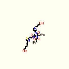 CC(C)C[C@H]1ON(C(=O)/C=C/c2nc(C#CCCCCO)cs2)[C@H]2CN([C@@H]3CCN(CCCCO)C3)C(=O)[C@H](CC(C)(C)C)N2C1=O